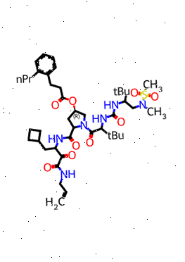 C=CCNC(=O)C(=O)C(CC1CCC1)NC(=O)C1C[C@@H](OC(=O)CCc2ccccc2CCC)CN1C(=O)C(NC(=O)NC(CN(C)S(C)(=O)=O)C(C)(C)C)C(C)(C)C